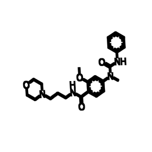 COc1cc(N(C)C(=O)Nc2ccccc2)ccc1C(=O)NCCCN1CCOCC1